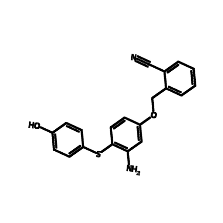 N#Cc1ccccc1COc1ccc(Sc2ccc(O)cc2)c(N)c1